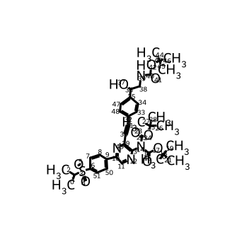 CC(C)S(=O)(=O)c1ccc(-c2cnc(N(C(=O)OC(C)(C)C)C(=O)OC(C)(C)C)c(C#Cc3ccc(C(O)CNC(=O)OC(C)(C)C)cc3)n2)cc1